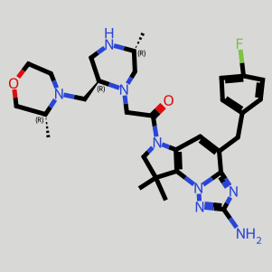 C[C@@H]1CN(CC(=O)N2CC(C)(C)c3c2cc(Cc2ccc(F)cc2)c2nc(N)nn32)[C@@H](CN2CCOC[C@H]2C)CN1